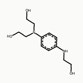 OCCNc1ccc(N(CCO)CCO)cc1